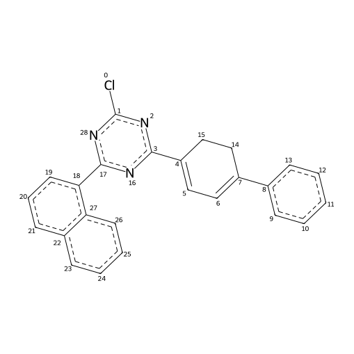 Clc1nc(C2=CC=C(c3ccccc3)CC2)nc(-c2cccc3ccccc23)n1